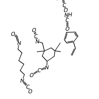 C=Cc1ccccc1.CC1(C)CC(N=C=O)CC(C)(CN=C=O)C1.N=C=O.N=C=O.O=C=NCCCCCCN=C=O